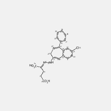 O=C(O)CCC(=NNC1=Nc2ccc(Cl)cc2C(c2ccccc2)=NC1)C(=O)O